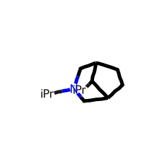 CC(C)C1C2CCC1CN(C(C)C)C2